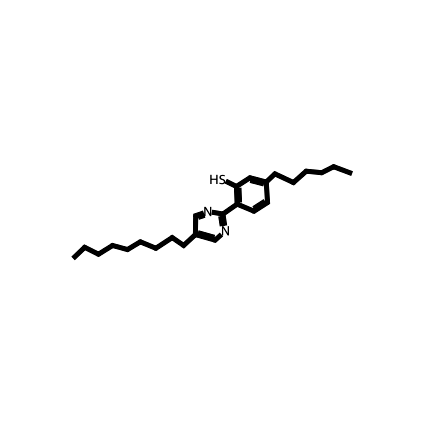 CCCCCCCCCc1cnc(-c2ccc(CCCCCC)cc2S)nc1